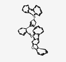 C1=C(c2ccccc2-n2c3ccccc3c3cc4c(cc32)oc2ccccc24)CC=C1n1c2ccccc2c2ccccc21